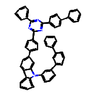 c1ccc(-c2ccc(-c3nc(-c4ccccc4)nc(-c4ccc(-c5ccc6c7ccccc7n(-c7cccc(-c8cccc(-c9ccccc9)c8)c7)c6c5)cc4)n3)cc2)cc1